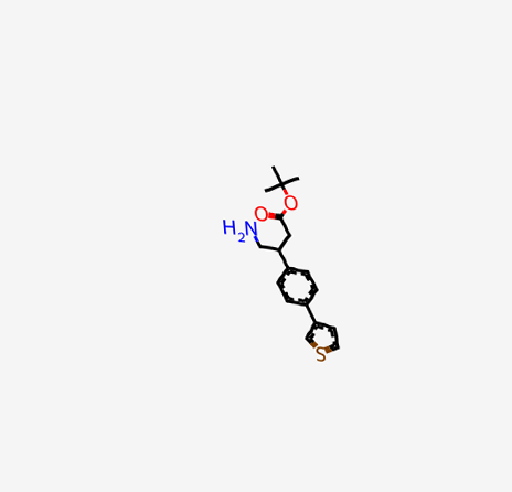 CC(C)(C)OC(=O)CC(CN)c1ccc(-c2ccsc2)cc1